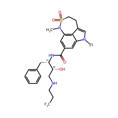 CCn1cc2c3c(cc(C(=O)N[C@@H](Cc4ccccc4)[C@H](O)CNCCC(F)(F)F)cc31)N(C)S(=O)(=O)CC2